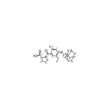 CCc1cc(C(=O)N2CCCC2C(=O)O)c(F)cc1OCC12CC3CC(CC(C3)C1)C2